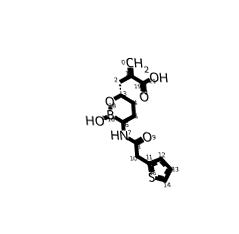 C=C(C[C@@H]1CCC(NC(=O)Cc2cccs2)B(O)O1)C(=O)O